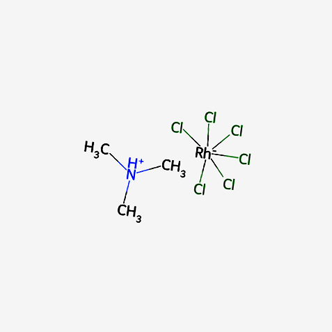 C[NH+](C)C.[Cl][Rh-]([Cl])([Cl])([Cl])([Cl])[Cl]